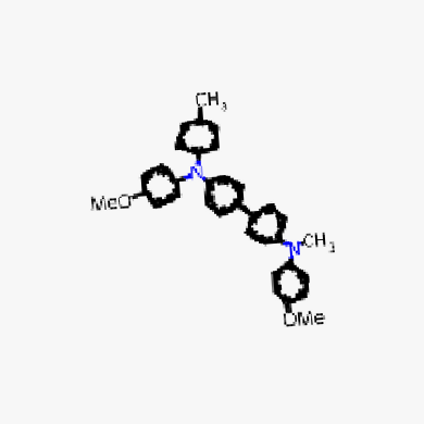 COc1ccc(N(C)c2ccc(-c3ccc(N(c4ccc(C)cc4)c4ccc(OC)cc4)cc3)cc2)cc1